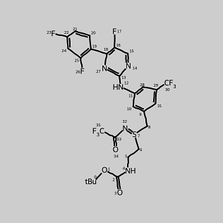 CC(C)(C)OC(=O)NCCS(Cc1cc(Nc2ncc(F)c(-c3ccc(F)cc3F)n2)cc(C(F)(F)F)c1)=NC(=O)C(F)(F)F